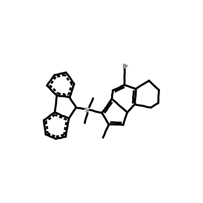 CC1=CC2C(=C1[Si](C)(C)C1c3ccccc3-c3ccccc31)C=C(Br)C1=C2CCCC1